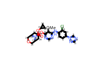 COc1c(Nc2ccc(-n3cncn3)cc2Cl)ncnc1OC1CC2COCC(C1)N2C(=O)OC1CC1